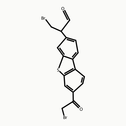 O=CC(CBr)c1ccc2c(c1)sc1cc(C(=O)CBr)ccc12